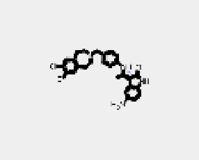 C/C(Nc1ccc(CN2CCc3cc(Cl)c(Cl)cc3CC2)cc1)=C1/C(=O)Nc2ccc(N)cc21